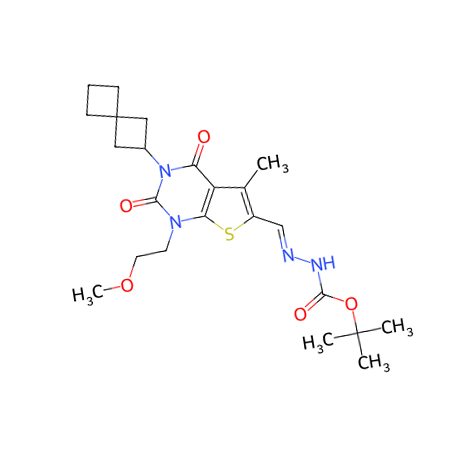 COCCn1c(=O)n(C2CC3(CCC3)C2)c(=O)c2c(C)c(C=NNC(=O)OC(C)(C)C)sc21